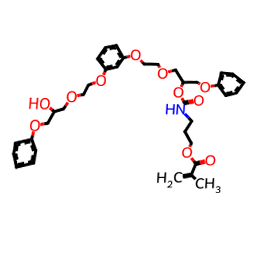 C=C(C)C(=O)OCCCNC(=O)OC(COCCOc1cccc(OCCOCC(O)COc2ccccc2)c1)COc1ccccc1